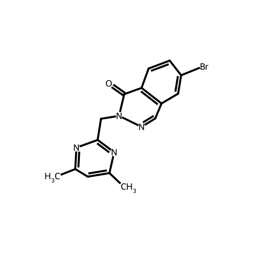 Cc1cc(C)nc(Cn2ncc3cc(Br)ccc3c2=O)n1